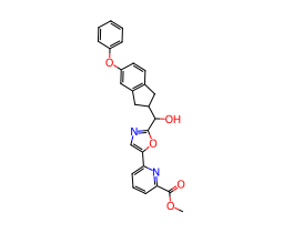 COC(=O)c1cccc(-c2cnc(C(O)C3Cc4ccc(Oc5ccccc5)cc4C3)o2)n1